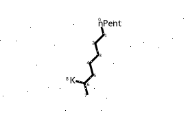 CCCCCCCCCC[CH](C)[K]